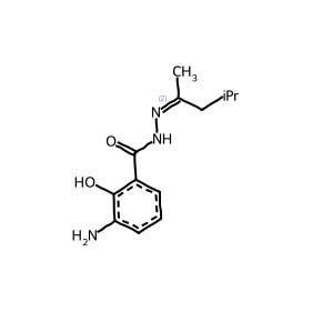 C/C(CC(C)C)=N/NC(=O)c1cccc(N)c1O